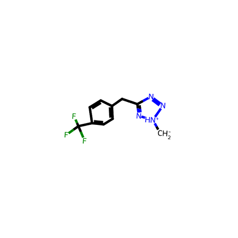 [CH2-][NH+]1N=NC(Cc2ccc(C(F)(F)F)cc2)=N1